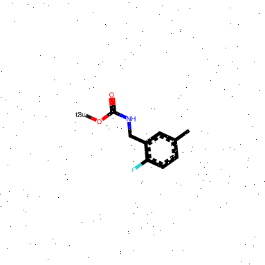 Cc1ccc(F)c(CNC(=O)OC(C)(C)C)c1